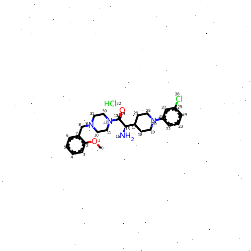 COc1ccccc1CN1CCN(C(=O)[C@H](N)C2CCN(c3cccc(Cl)c3)CC2)CC1.Cl